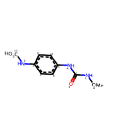 CONC(=O)Nc1ccc(NC(=O)O)cc1